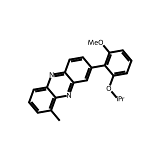 COc1cccc(OC(C)C)c1-c1ccc2nc3cccc(C)c3nc2c1